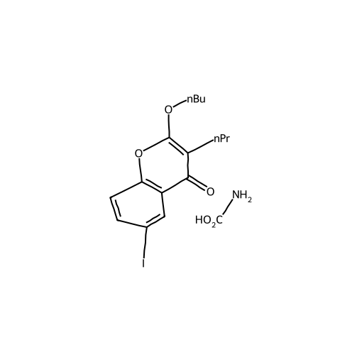 CCCCOc1oc2ccc(I)cc2c(=O)c1CCC.NC(=O)O